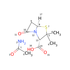 CC(N)=O.CC1(C)S[C@@H]2CC(=O)N2[C@H]1C(=O)O